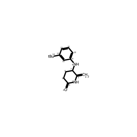 C=C1NC(=O)CCC1Nc1cccc(C(C)(C)C)c1